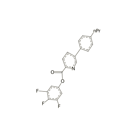 CCCc1ccc(-c2ccc(C(=O)Oc3cc(F)c(F)c(F)c3)nc2)cc1